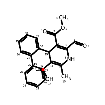 COC(=O)C1=C(C=O)NC(C)=C(C(=O)O)C1c1ccccc1-c1ccccc1